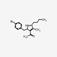 CCCCN1NC(Cc2ccc(Br)cc2)C(C(C)=O)=C1C